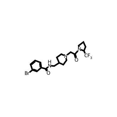 O=C(NCC1CCN(CC(=O)N2CCCC2C(F)(F)F)CC1)c1cccc(Br)c1